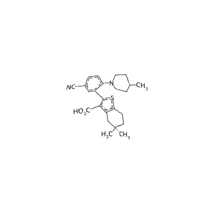 CC1CCN(c2ccc(C#N)cc2-c2sc3c(c2C(=O)O)CC(C)(C)CC3)CC1